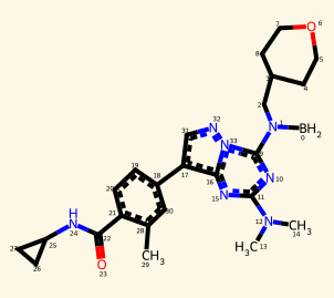 BN(CC1CCOCC1)c1nc(N(C)C)nc2c(-c3ccc(C(=O)NC4CC4)c(C)c3)cnn12